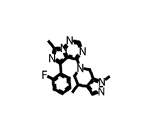 Cc1nc(-c2ccccc2F)c2c(N3Cc4c(cnn4C)C(C)C3)ncnn12